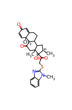 C[C@@H]1CC2C3CCC4=CC(=O)C=CC4(C)C3C(=O)CC2(C)[C@@]1(O)C(=O)CSc1nc2ccccc2n1C